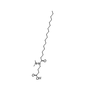 CCCCCCCCCCCCCCCCCC(=O)N(CCCC(=O)O)N(C)C